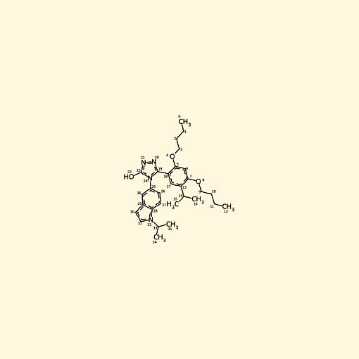 CCCCOc1cc(OCCCC)c(C(C)C)cc1-c1nnc(O)n1-c1ccc2c(ccn2C(C)C)c1